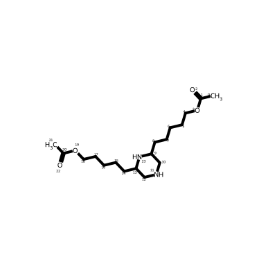 CC(=O)OCCCCCC1CNCC(CCCCCOC(C)=O)N1